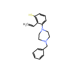 C=Cc1c(S)cccc1N1CCN(Cc2ccccc2)CC1